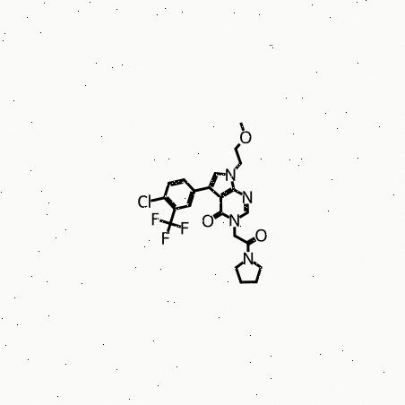 COCCn1cc(-c2ccc(Cl)c(C(F)(F)F)c2)c2c(=O)n(CC(=O)N3CCCC3)cnc21